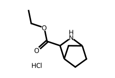 CCOC(=O)C1NC2CCC1C2.Cl